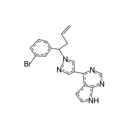 C=CCC(c1cccc(Br)c1)n1cc(-c2ncnc3[nH]ccc23)cn1